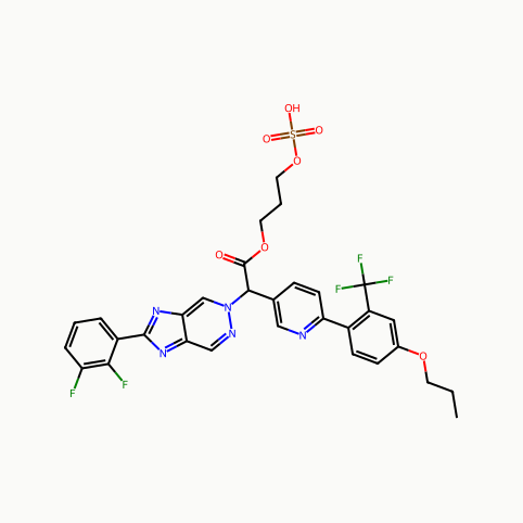 CCCOc1ccc(-c2ccc(C(C(=O)OCCCOS(=O)(=O)O)n3cc4nc(-c5cccc(F)c5F)nc-4cn3)cn2)c(C(F)(F)F)c1